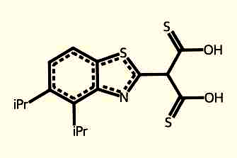 CC(C)c1ccc2sc(C(C(O)=S)C(O)=S)nc2c1C(C)C